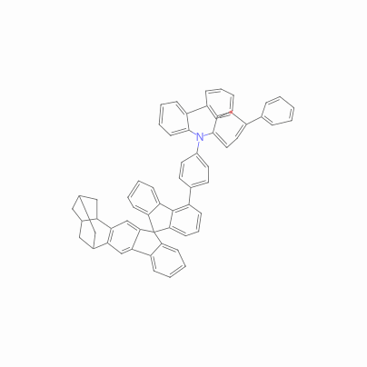 c1ccc(-c2ccc(N(c3ccc(-c4cccc5c4-c4ccccc4C54c5ccccc5-c5cc6c(cc54)C4CC5CC6CC4C5)cc3)c3ccccc3-c3ccccc3)cc2)cc1